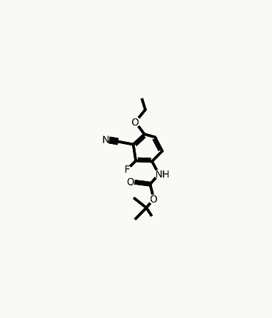 CCOc1ccc(NC(=O)OC(C)(C)C)c(F)c1C#N